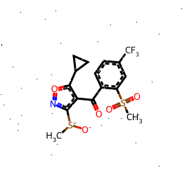 C[S+]([O-])c1noc(C2CC2)c1C(=O)c1ccc(C(F)(F)F)cc1S(C)(=O)=O